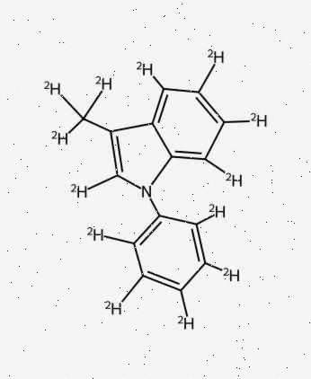 [2H]c1c([2H])c([2H])c(-n2c([2H])c(C([2H])([2H])[2H])c3c([2H])c([2H])c([2H])c([2H])c32)c([2H])c1[2H]